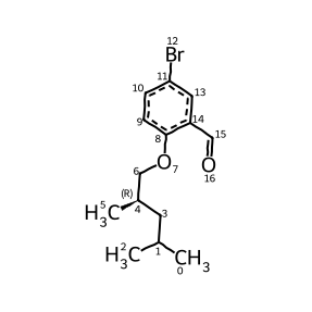 CC(C)C[C@@H](C)COc1ccc(Br)cc1C=O